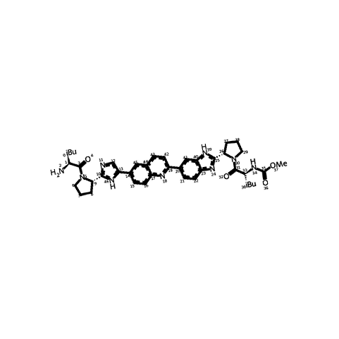 CC[C@H](C)[C@H](N)C(=O)N1CCC[C@H]1c1ncc(-c2ccc3nc(-c4ccc5nc([C@@H]6CCCN6C(=O)[C@@H](NC(=O)OC)[C@@H](C)CC)[nH]c5c4)ccc3c2)[nH]1